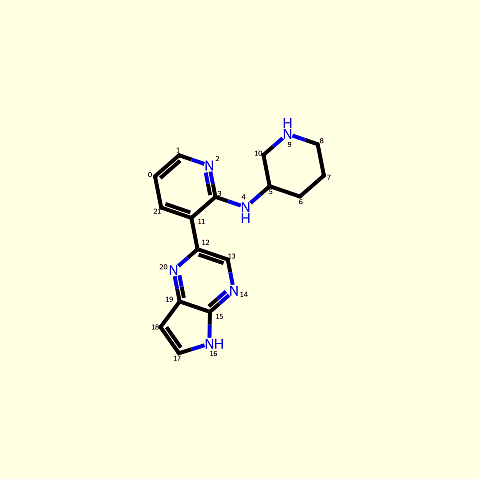 c1cnc(NC2CCCNC2)c(-c2cnc3[nH]ccc3n2)c1